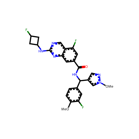 COc1ccc(C(NC(=O)c2cc(F)c3cnc(NC4CC(F)C4)nc3c2)c2cnn(OC)c2)cc1F